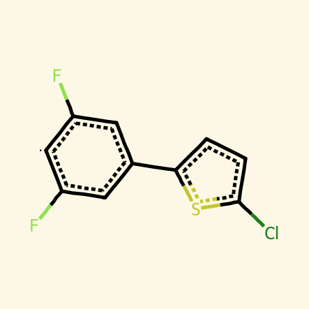 Fc1[c]c(F)cc(-c2ccc(Cl)s2)c1